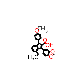 CCc1cccc2c1C(c1ccc3c(c1)OCO3)=C(C(=O)O)C2c1ccc(OC)cc1